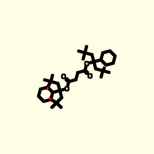 CC(C)(C)CC(CC(C)(C)C)(OC(=O)CCC(=O)OC(CC(C)(C)C)(CC(C)(C)C)C1CCCCC1)C1CCCCC1